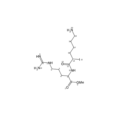 COC(=O)C(CCCNC(=N)N)NC(=O)C(I)CCCCN